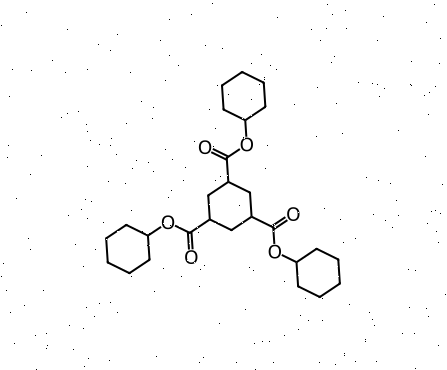 O=C(OC1CCCCC1)C1CC(C(=O)OC2CCCCC2)CC(C(=O)OC2CCCCC2)C1